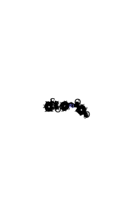 COc1ccc(C(=O)/C=C/c2ccc(OC3CSC4=CC=CCN43)cc2)cc1